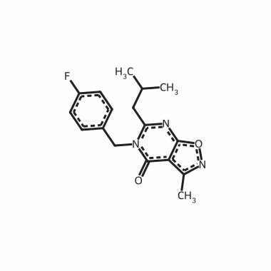 Cc1noc2nc(CC(C)C)n(Cc3ccc(F)cc3)c(=O)c12